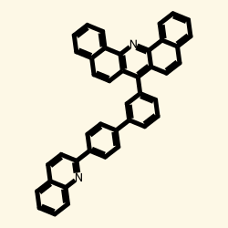 c1cc(-c2ccc(-c3ccc4ccccc4n3)cc2)cc(-c2c3ccc4ccccc4c3nc3c2ccc2ccccc23)c1